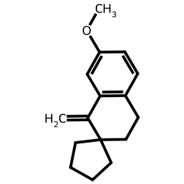 C=C1c2cc(OC)ccc2CCC12CCCC2